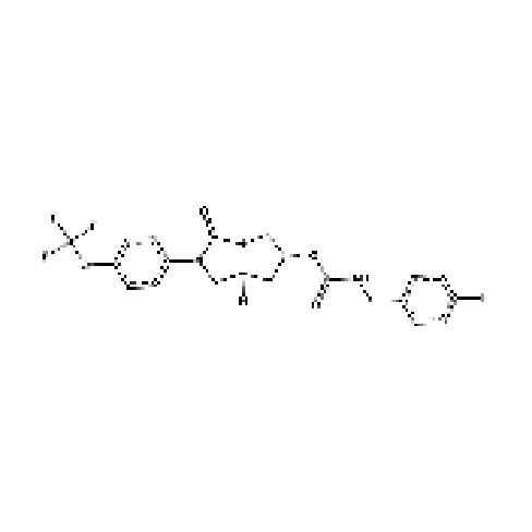 O=C(NCc1ccc(F)cc1)O[C@@H]1C[C@H]2CN(c3ccc(OC(F)(F)F)cc3)C(=O)N2C1